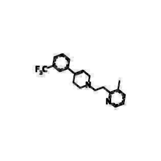 Cc1cccnc1CCN1CC=C(c2cccc(C(F)(F)F)c2)CC1